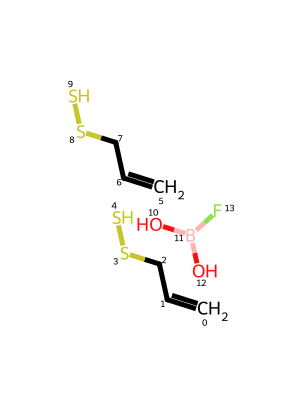 C=CCSS.C=CCSS.OB(O)F